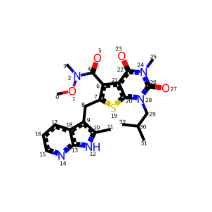 CON(C)C(=O)c1c(Cc2c(C)[nH]c3ncccc23)sc2c1c(=O)n(C)c(=O)n2CC(C)C